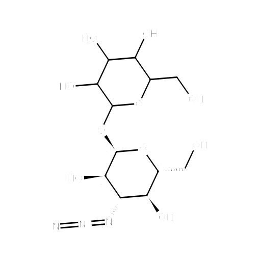 [N-]=[N+]=N[C@@H]1[C@@H](O)[C@@H](OC2OC(CO)C(O)C(O)C2O)O[C@H](CO)[C@H]1O